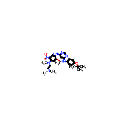 COc1cc(N(C)CCN(C)C)c([N+](=O)[O-])cc1Nc1cc(Nc2ccc(OC(C)(C)C)c(Cl)c2)ncn1